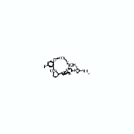 CN1CCOCCOc2ccc(F)cc2C(=O)N2CCCCC2c2cc3nc(N4CC(N)C4)cc1n3n2